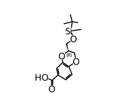 CC(C)(C)[Si](C)(C)OC[C@H]1COc2ccc(C(=O)O)cc2O1